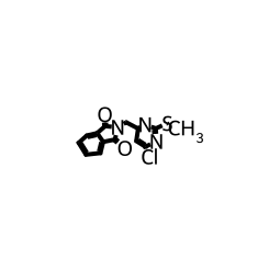 CSc1nc(Cl)cc(CN2C(=O)c3ccccc3C2=O)n1